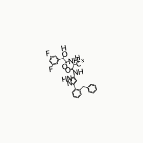 C[C@H](NC(=O)[C@@H](O)c1cc(F)cc(F)c1)C(=O)Nc1cc(-c2ccccc2Cc2ccccc2)n[nH]1